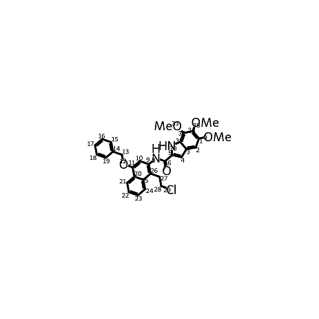 COc1cc2cc(C(=O)Nc3cc(OCc4ccccc4)c4ccccc4c3CCCl)[nH]c2c(OC)c1OC